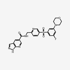 O=C(NCc1ccc(S(=O)(=O)c2cc(F)cc(N3CCOCC3)c2)cn1)c1cnc2[nH]ncc2c1